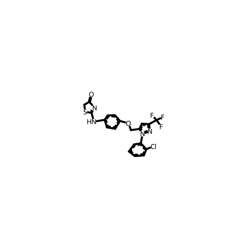 O=C1CSC(Nc2ccc(OCc3cc(C(F)(F)F)nn3-c3ccccc3Cl)cc2)=N1